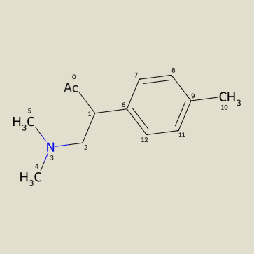 CC(=O)C(CN(C)C)c1ccc(C)cc1